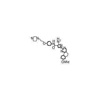 COc1ccc2c(c1)CCc1cnc(-n3cc(C(=O)Nc4ccc(OCCCN5CCN(C)CC5)cc4)c(N)n3)nc1-2